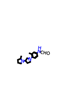 Cc1cc(NC=O)ccc1N1CCC(N2CCCC2C)C1